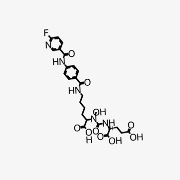 O=C(O)CC[C@H](NC(=O)N(O)C(CCCCNC(=O)c1ccc(NC(=O)c2ccc(F)nc2)cc1)C(=O)O)C(=O)O